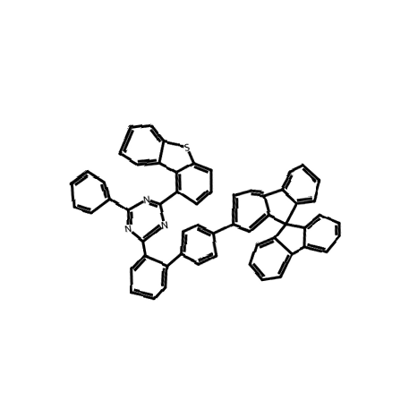 c1ccc(-c2nc(-c3ccccc3-c3ccc(-c4ccc5c(c4)C4(c6ccccc6-c6ccccc64)c4ccccc4-5)cc3)nc(-c3cccc4sc5ccccc5c34)n2)cc1